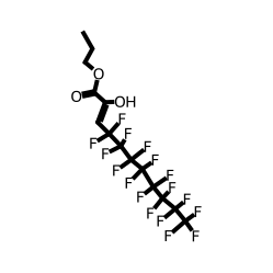 CCCOC(=O)C(O)=CC(F)(F)C(F)(F)C(F)(F)C(F)(F)C(F)(F)C(F)(F)C(F)(F)C(F)(F)F